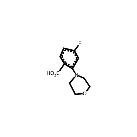 O=C(O)c1ccc(F)cc1N1CCOCC1